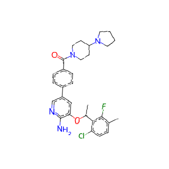 Cc1ccc(Cl)c(C(C)Oc2cc(-c3ccc(C(=O)N4CCC(N5CCCC5)CC4)cc3)cnc2N)c1F